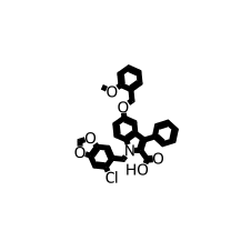 COc1ccccc1COc1ccc2c(c1)c(-c1ccccc1)c(C(=O)O)n2Cc1cc2c(cc1Cl)OCO2